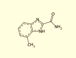 Cc1cccc2nc(C(N)=O)[nH]c12